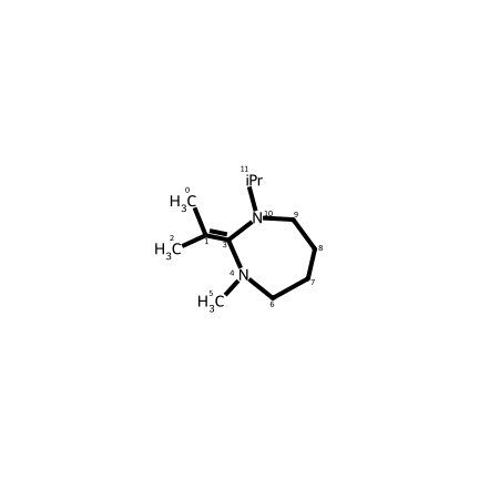 CC(C)=C1N(C)CCCCN1C(C)C